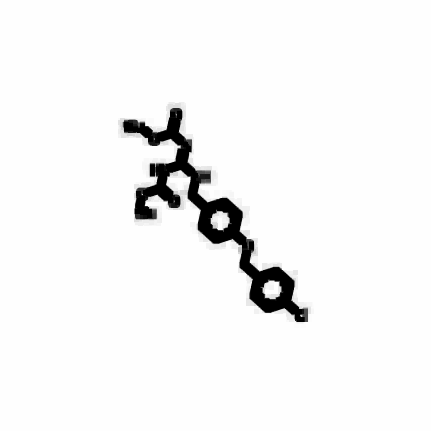 CC(C)(C)OC(=O)N=C(NCc1ccc(OCc2ccc(Cl)cc2)cc1)NC(=O)OC(C)(C)C